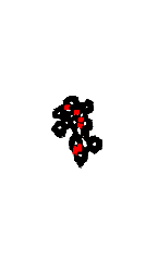 c1ccc(-c2ccccc2N(c2ccc(-c3cccc4c3oc3ccccc34)cc2)c2ccccc2-c2cccc3c2-c2ccccc2C32C3CC4CC5CC2C3(C4)C5)cc1